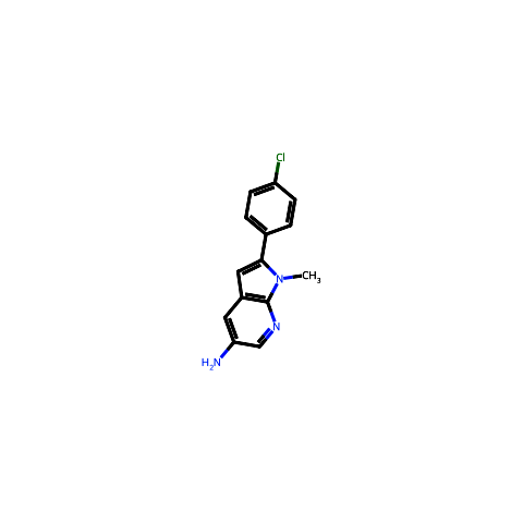 Cn1c(-c2ccc(Cl)cc2)cc2cc(N)cnc21